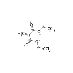 C=C(C(=O)OCC(Cl)(Cl)Cl)C(=O)OCC(Cl)(Cl)Cl